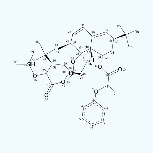 CC(Oc1ccccc1)C(=O)O[C@H]1C[C@H](C(C)(C)C)C=C2C=C[C@H](C)[C@](CC[C@@H]3C[C@H](C(C)(C)C)C(O[SiH](C)C)C(=O)O3)(O[SiH](C)C)[C@H]21